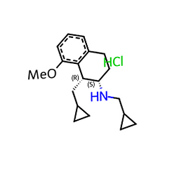 COc1cccc2c1[C@@H](CC1CC1)[C@@H](NCC1CC1)CC2.Cl